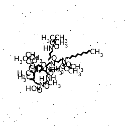 C=C(C)/C1=C\C(=C/C)C[C@@H](C(=O)O)NC(=O)[C@H](C)NC(=O)[C@@H](N(C)C(=O)[C@H](CCCCNC(=O)OC(C)(C)C)NC(=O)CCN(CCCCCCCCCC)C(=O)OC(C)(C)C)c2ccc(OC(=O)OC(C)(C)C)c1c2